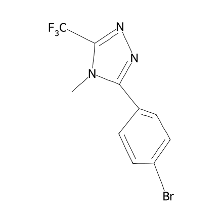 Cn1c(-c2ccc(Br)cc2)nnc1C(F)(F)F